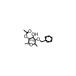 CC(=O)O[C@H]1C(O)[C@@H](OCc2ccccc2)C(C)O[C@H]1C